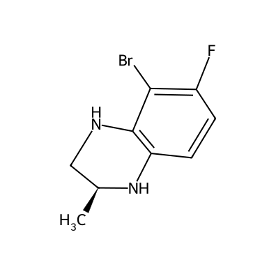 C[C@H]1CNc2c(ccc(F)c2Br)N1